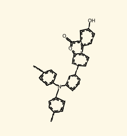 Cc1ccc(N(c2ccc(C)cc2)c2cccc(-c3ccc4c(c3)oc(=O)c3cc(O)ccc34)c2)cc1